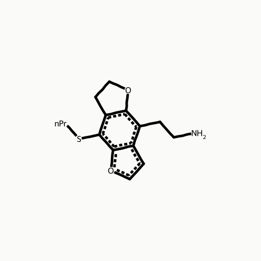 CCCSc1c2c(c(CCN)c3ccoc13)OCC2